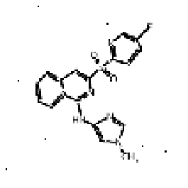 Cn1cnc(Nc2nc(S(=O)(=O)c3ccc(F)cn3)cc3ccccc23)c1